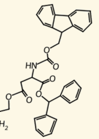 C=CCOC(=O)CC(NC(=O)OCC1c2ccccc2-c2ccccc21)C(=O)OC(c1ccccc1)c1ccccc1